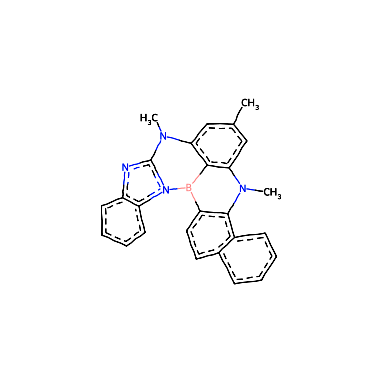 Cc1cc2c3c(c1)N(C)c1nc4ccccc4n1B3c1ccc3ccccc3c1N2C